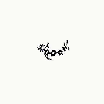 CCOC(=O)C(C)(C)n1cc(-c2ccc3c(c2)OCCn2cc(/C(=N/C(C)=N)NC(C)C)nc2-3)cn1